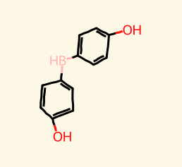 Oc1ccc(Bc2ccc(O)cc2)cc1